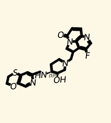 O=c1ccc2ncc(F)c3c2n1CC3CN1CC[C@H](NCc2cc3c(cn2)OCCS3)[C@H](O)C1